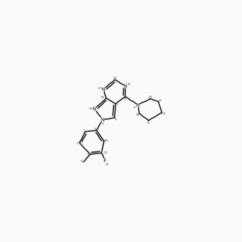 Cc1ccc(-n2cc3c(N4CCCCC4)ncnc3n2)cc1F